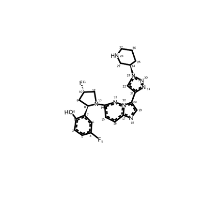 Oc1ccc(F)cc1[C@H]1C[C@H](F)CN1c1ccc2ncc(-c3cn([C@@H]4CCCNC4)nn3)n2n1